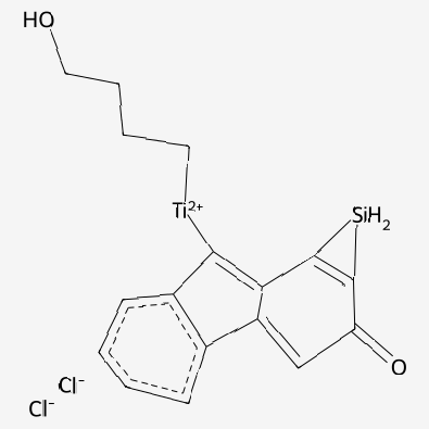 O=C1C=C2C(=[C]([Ti+2][CH2]CCCO)c3ccccc32)C2=C1[SiH2]2.[Cl-].[Cl-]